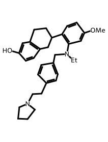 CCN(Cc1ccc(CCN2CCCC2)cc1)c1cc(OC)ccc1C1CCc2cc(O)ccc2C1